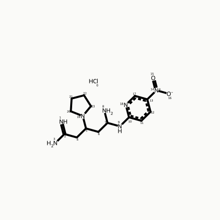 Cl.N=C(N)CC(CC(N)Nc1ccc([N+](=O)[O-])cn1)N1CCCC1